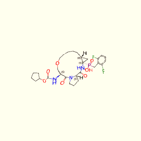 O=C(N[C@H]1COCCCCC[C@@H]2C[C@@]2(P(=O)(O)Cc2c(F)cccc2F)NC(=O)[C@@H]2CCCN2C1=O)OC1CCCC1